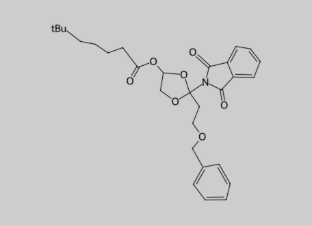 CC(C)(C)CCCCC(=O)OC1COC(CCOCc2ccccc2)(N2C(=O)c3ccccc3C2=O)O1